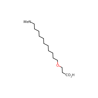 CNCCCCCCCCCCCOCCC(=O)O